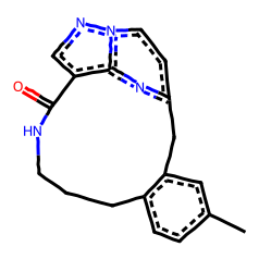 Cc1ccc2c(c1)Cc1ccn3ncc(c3n1)C(=O)NCCC2